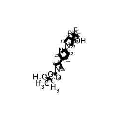 CC(C)(C)OC(=O)N1CC(c2ccc(N3CCC(O)(C(F)(F)F)C3)nc2)C1